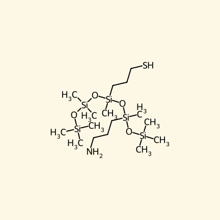 C[Si](C)(C)O[Si](C)(C)O[Si](C)(CCCS)O[Si](C)(CCCN)O[Si](C)(C)C